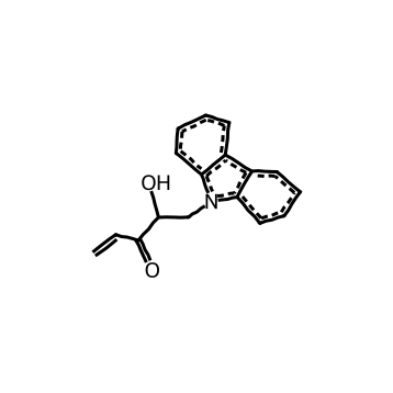 C=CC(=O)C(O)Cn1c2ccccc2c2ccccc21